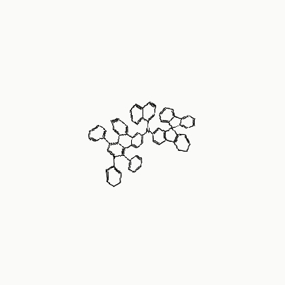 C1=CC(c2cc(-c3ccccc3)c3c4ccccc4c4cc(N(c5ccc6c(c5)C5(C7=C6CCC=C7)c6ccccc6-c6ccccc65)c5cccc6ccccc56)ccc4c3c2-c2ccccc2)=CCC1